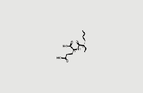 CCCC[C@H](CC)C(=O)N[C@@H](CCC(=O)O)C(=O)O